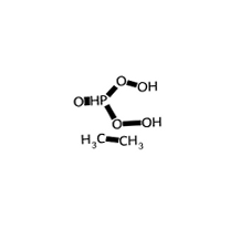 CC.O=[PH](OO)OO